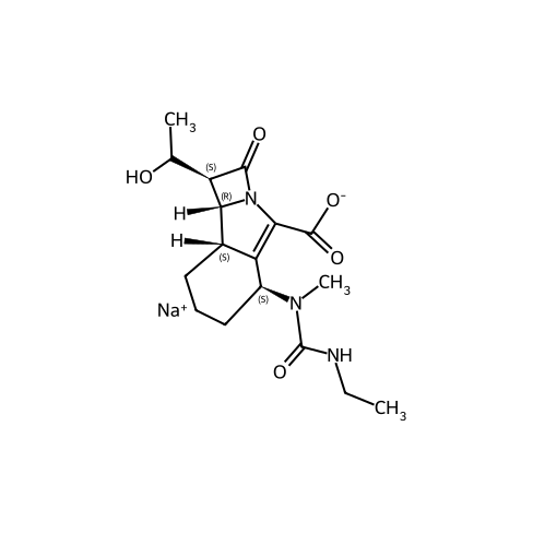 CCNC(=O)N(C)[C@H]1CCC[C@H]2C1=C(C(=O)[O-])N1C(=O)[C@H](C(C)O)[C@@H]21.[Na+]